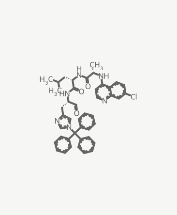 CC(C)C[C@H](NC(=O)[C@H](C)Nc1ccnc2cc(Cl)ccc12)C(=O)N[C@H](C=O)Cc1cn(C(c2ccccc2)(c2ccccc2)c2ccccc2)cn1